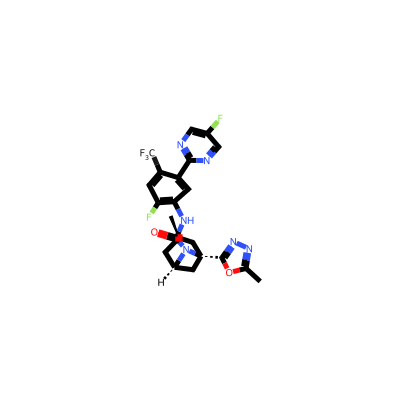 Cc1nnc([C@]23C[C@H](C)C[C@H](C2)N3C(=O)Nc2cc(-c3ncc(F)cn3)c(C(F)(F)F)cc2F)o1